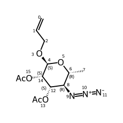 C=CCO[C@H]1O[C@H](C)[C@@H](N=[N+]=[N-])[C@H](OC(C)=O)[C@@H]1OC(C)=O